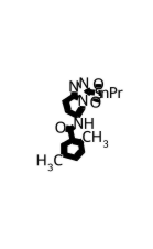 CCCS(=O)(=O)c1nnc2ccc(NC(=O)c3cc(C)ccc3C)cn12